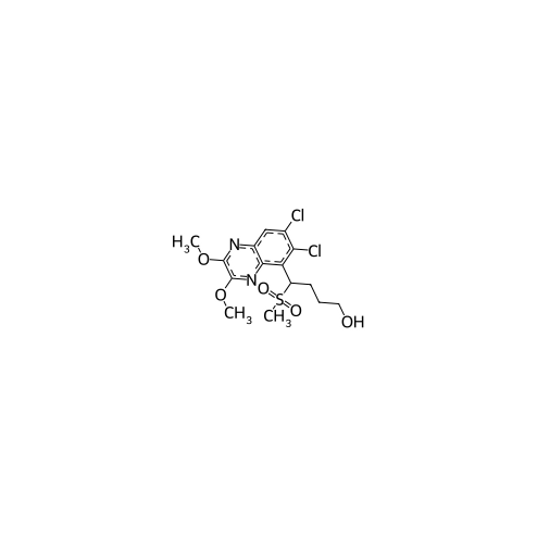 COc1nc2cc(Cl)c(Cl)c(C(CCCO)S(C)(=O)=O)c2nc1OC